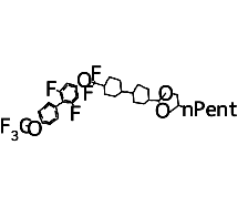 CCCCCC1COC(C2CCC(C3CCC(C(F)(F)Oc4cc(F)c(-c5ccc(OC(F)(F)F)cc5)c(F)c4)CC3)CC2)OC1